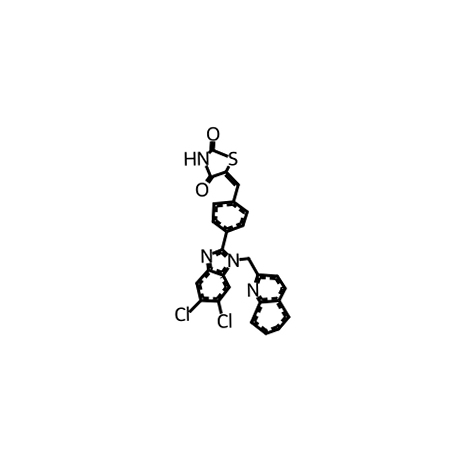 O=C1NC(=O)/C(=C\c2ccc(-c3nc4cc(Cl)c(Cl)cc4n3Cc3ccc4ccccc4n3)cc2)S1